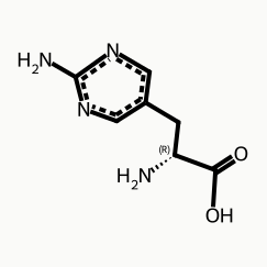 Nc1ncc(C[C@@H](N)C(=O)O)cn1